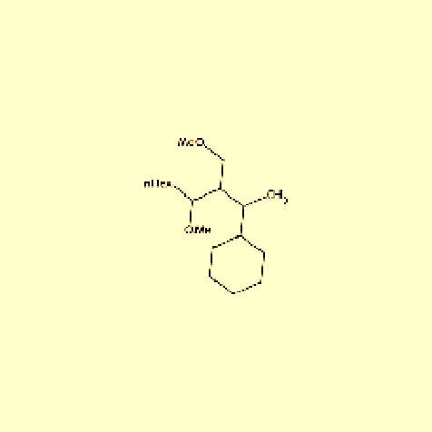 CCCCCCC(OC)C(COC)C(C)C1CCCCC1